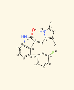 Cc1cc(C)c(C=C2C(=O)Nc3cccc(-c4cccc(F)c4)c32)[nH]1